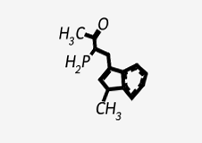 CC(=O)C(P)CC1=CC(C)c2ccccc21